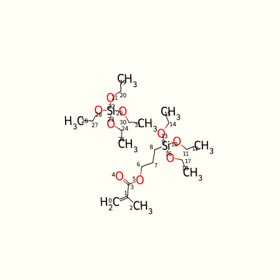 C=C(C)C(=O)OCCC[Si](OCC)(OCC)OCC.CCO[Si](OCC)(OCC)OCC